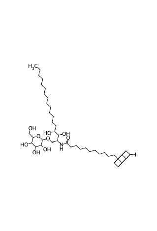 CCCCCCCCCCCCCC[C@@H](O)[C@@H](O)[C@H](COC1OC(CO)C(O)C(O)C1O)NC(=O)CCCCCCCCCCC12C3C4C1C1C2C3C41I